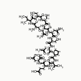 CC[C@H](C)[C@H](NC(=O)[C@@H](N)CO)C(=O)N[C@@H](CO)C(=O)N[C@@H](CO)C(=O)N[C@@H](CC(N)=O)C(=O)N[C@@H](CC(N)=O)C(=O)N[C@@H](CO)C(=O)N[C@@H](CC(N)=O)C(=O)N1CCC[C@H]1C(=O)N[C@H](C(=O)N[C@@H](CCC(=O)O)C(=O)N[C@@H](CC(=O)O)C(=O)O)C(C)C